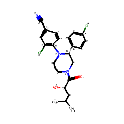 CC(C)C[C@H](O)C(=O)N1CCN(c2ccc(C#N)cc2Cl)[C@H](c2ccc(Cl)cc2)C1